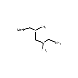 CNCN(C)CN(C)CN